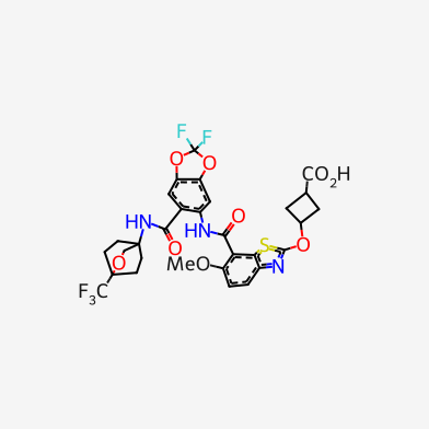 COc1ccc2nc(OC3CC(C(=O)O)C3)sc2c1C(=O)Nc1cc2c(cc1C(=O)NC13CCC(C(F)(F)F)(CC1)OC3)OC(F)(F)O2